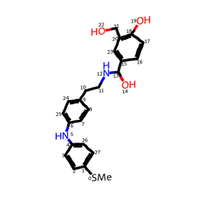 CSc1ccc(Nc2ccc(CCNC(O)c3ccc(O)c(CO)c3)cc2)cc1